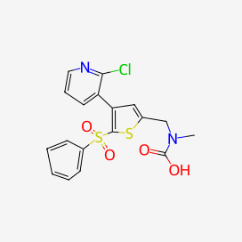 CN(Cc1cc(-c2cccnc2Cl)c(S(=O)(=O)c2ccccc2)s1)C(=O)O